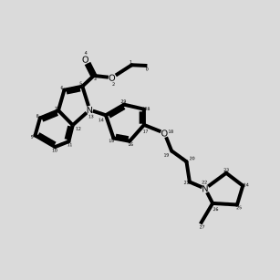 CCOC(=O)c1cc2ccccc2n1-c1ccc(OCCCN2CCCC2C)cc1